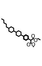 CCCCCC1CCC(C2CCC(c3ccc(C(C(=O)OC)C(=O)OCC)cc3)CC2)CC1